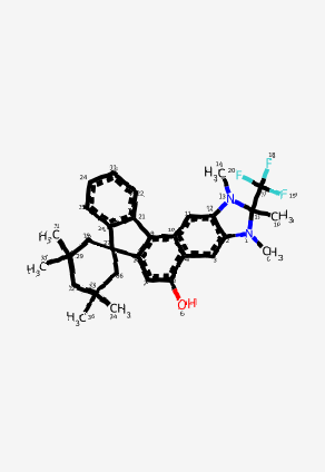 CN1c2cc3c(O)cc4c(c3cc2N(C)C1(C)C(F)(F)F)-c1ccccc1C41CC(C)(C)CC(C)(C)C1